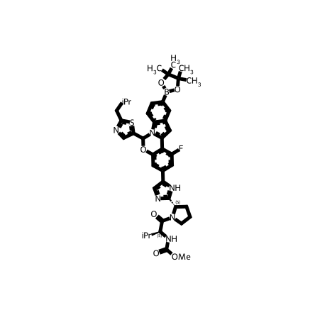 COC(=O)N[C@H](C(=O)N1CCC[C@H]1c1ncc(-c2cc(F)c3c(c2)OC(c2cnc(CC(C)C)s2)n2c-3cc3cc(B4OC(C)(C)C(C)(C)O4)ccc32)[nH]1)C(C)C